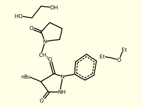 CCCCC1C(=O)NN(c2ccccc2)C1=O.CCOCC.CN1CCCC1=O.OCCO